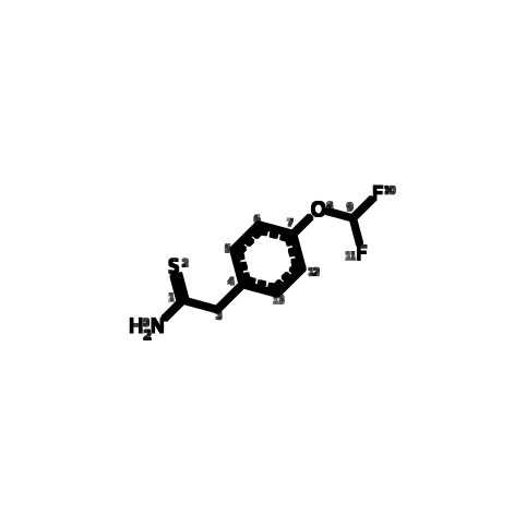 NC(=S)Cc1ccc(OC(F)F)cc1